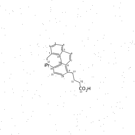 Cc1cccc2ccc3c(CCCC(=O)O)ccc(C(C)C)c3c12